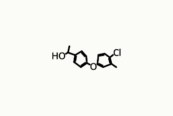 Cc1cc(Oc2ccc(C(C)O)cc2)ccc1Cl